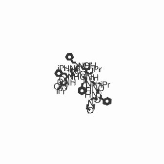 CC(C)CC(NC(=O)[C@H](Cc1ccccc1)NC(=O)[C@H](CC(C)C)NC(=O)[C@H](CCc1ccccc1)NC(=O)CN1CCOCC1)C(=O)C(C)(O)CN[C@@H](CCc1ccccc1)C(=O)N[C@@H](CC(C)C)C(=O)NC(Cc1ccccc1)C(=O)N[C@@H](CC(C)C)C(=O)[C@@]1(C)CO1